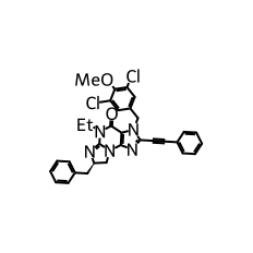 CCN1C(=O)c2c(nc(C#Cc3ccccc3)n2Cc2cc(Cl)c(OC)c(Cl)c2)N2C[C@@H](Cc3ccccc3)N=C12